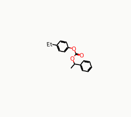 CCc1ccc(OC(=O)OC(C)c2ccccc2)cc1